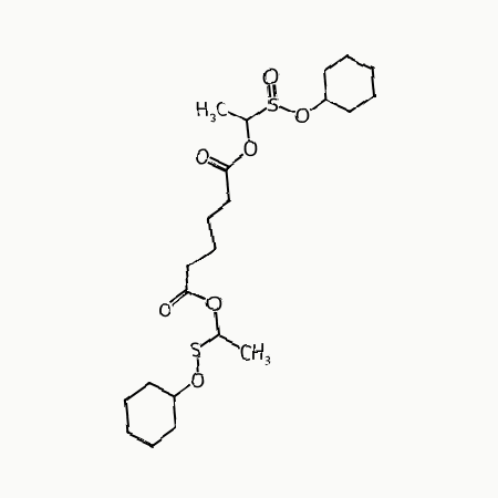 CC(OC(=O)CCCCC(=O)OC(C)S(=O)OC1CCCCC1)SOC1CCCCC1